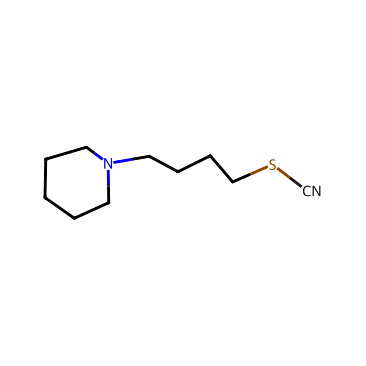 N#CSCCCCN1CCCCC1